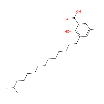 Cc1cc(CCCCCCCCCCCCC(C)C)c(O)c(C(=O)O)c1